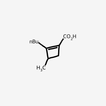 CCCCC1=C(C(=O)O)CC1C